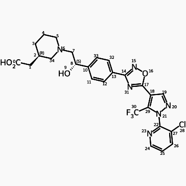 O=C(O)C[C@H]1CCCN(C[C@@H](O)c2ccc(-c3noc(-c4cnn(-c5ncccc5Cl)c4C(F)(F)F)n3)cc2)C1